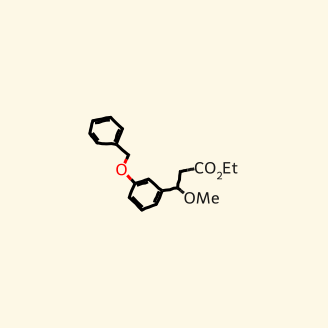 CCOC(=O)CC(OC)c1cccc(OCc2ccccc2)c1